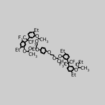 CCOC(C)Oc1cc(C(c2ccc(CC)c(OC(C)OCCOc3ccc(OCCOC(C)Oc4cc(C(c5ccc(CC)c(OC(C)OCC)c5)(C(F)(F)F)C(F)(F)F)ccc4CC)cc3)c2)(C(F)(F)F)C(F)(F)F)ccc1CC